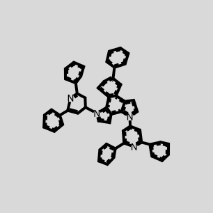 C1=C(c2ccccc2)N=C(c2ccccc2)CC1n1ccc2c3c(ccn3-c3cc(-c4ccccc4)nc(-c4ccccc4)c3)c3cc(-c4ccccc4)ccc3c21